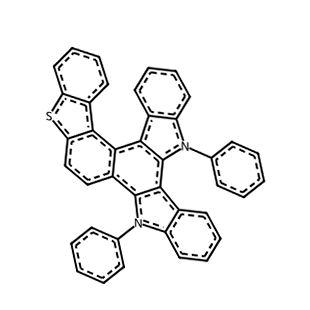 c1ccc(-n2c3ccccc3c3c2c2ccc4sc5ccccc5c4c2c2c4ccccc4n(-c4ccccc4)c23)cc1